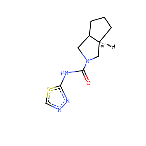 O=C(Nc1nncs1)N1CC2CCC[C@H]2C1